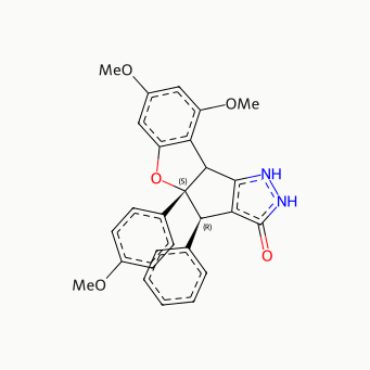 COc1ccc([C@@]23Oc4cc(OC)cc(OC)c4C2c2[nH][nH]c(=O)c2[C@H]3c2ccccc2)cc1